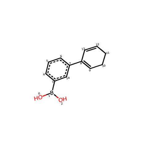 OB(O)c1cccc(C2=CCCC=C2)c1